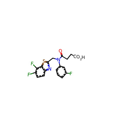 O=C(O)CCC(=O)N(Cc1nc2ccc(F)c(F)c2s1)c1cccc(F)c1